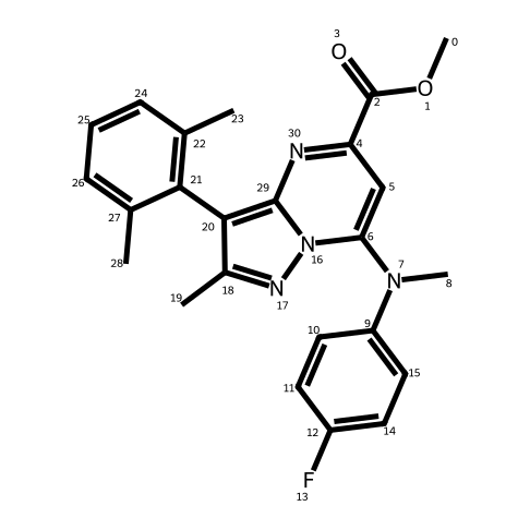 COC(=O)c1cc(N(C)c2ccc(F)cc2)n2nc(C)c(-c3c(C)cccc3C)c2n1